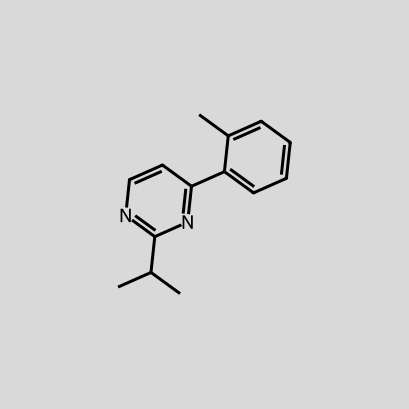 Cc1ccccc1-c1ccnc(C(C)C)n1